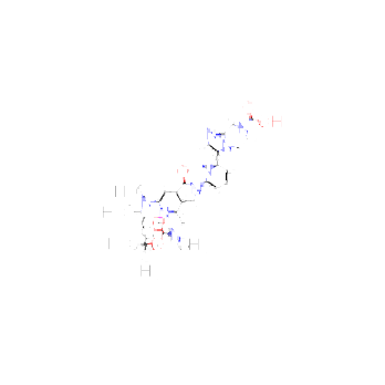 CC(C)N(C)c1cc2c(c(CN(C)C(=O)OC(C)(C)C)n1)CN(c1cccc(-c3cnc4n3CCN(C(=O)O)C4)n1)C2=O